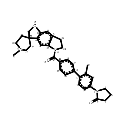 Cc1cc(N2CCCC2=S)ccc1-c1ccc(C(=O)N2CCc3cc4c(cc32)C2(CCN(C)CC2)CO4)cc1